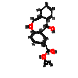 COC(=O)c1ccc2c(c1)C(=O)C1=CC=CCC1=CO2